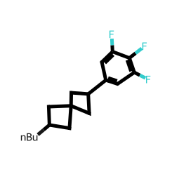 CCCCC1CC2(C1)CC(c1cc(F)c(F)c(F)c1)C2